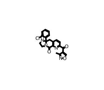 Cc1nocc1C(=O)c1ccc2c(n1)C(=O)N1CCNC1(c1ccccc1Cl)C2